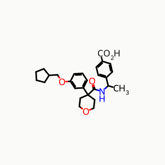 CC(NC(=O)C1(c2cccc(OCC3CCCC3)c2)CCOCC1)c1ccc(C(=O)O)cc1